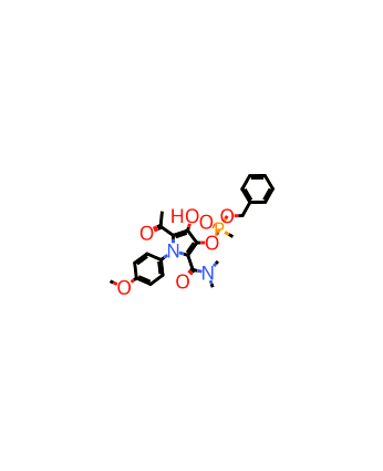 COc1ccc(-n2c(C(C)=O)c(O)c(OP(C)(=O)OCc3ccccc3)c2C(=O)N(C)C)cc1